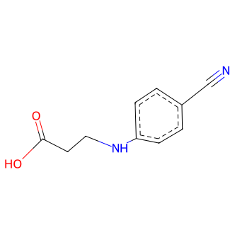 N#Cc1ccc(NCCC(=O)O)cc1